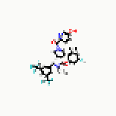 Cc1cc(F)ccc1[C@@H]1CN(C(=O)c2ccc(O)cn2)CC[C@H]1C(=O)N(C)Cc1cc(C(F)(F)F)cc(C(F)(F)F)c1